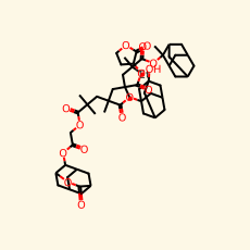 CCC(C)(CC(C)(CC(C)(CC(C)(C)C(=O)OCC(=O)OC1C2CC3CC(C2)C(=O)OC1C3)C(=O)OC12CC3CC(CC(O)(C3)C1)C2)C(=O)OC1CCOC1=O)C(=O)OC1(C)C2CC3CC(C2)CC1C3